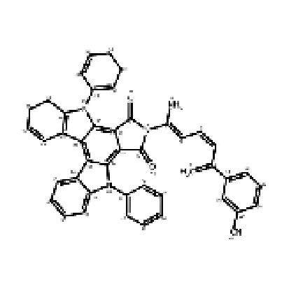 C=C(/C=C\C=C(/N)N1C(=O)c2c(c3c(c4ccccc4n3-c3ccccc3)c3c4c(n(C5=CCCC=C5)c23)CCC=C4)C1=O)c1cccc(C#N)c1